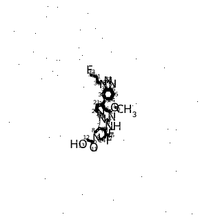 COc1nc(N[C@@H]2CCN(C(=O)CO)CC2(F)F)nn2ccc(-c3ccc4nnn(CCCF)c4c3)c12